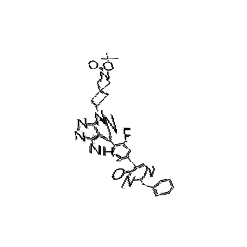 Cn1c(Cc2ccccc2)ncc(-c2ccc(-c3nn(C4CC5(C4)CN(C(=O)OC(C)(C)C)C5)c4ncnc(N)c34)c(F)c2)c1=O